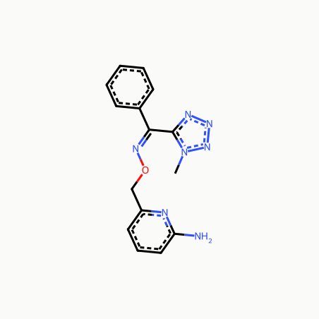 Cn1nnnc1C(=NOCc1cccc(N)n1)c1ccccc1